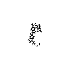 CC1=NC=CC(C)N1c1cccc2c1CCC2Oc1ccc2c(c1)SC[C@H]2CC(=O)O